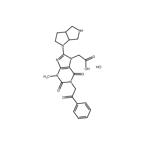 Cl.Cn1c(=O)n(CC(=O)c2ccccc2)c(=O)c2c1nc(N1CCC3CNCC31)n2CC(=O)O